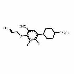 C=CCOc1c(C=O)cc(C2CCC(CCCCC)CC2)c(F)c1F